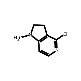 CN1CCc2c1ccnc2Cl